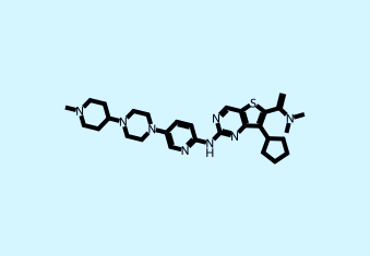 C=C(c1sc2cnc(Nc3ccc(N4CCN(C5CCN(C)CC5)CC4)cn3)nc2c1C1CCCC1)N(C)C